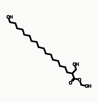 O=C(OCO)C(CO)CCCCCCCCCCCCCCCCCO